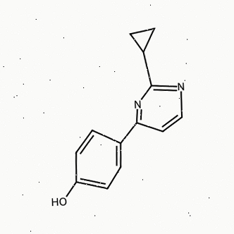 Oc1ccc(-c2ccnc(C3CC3)n2)cc1